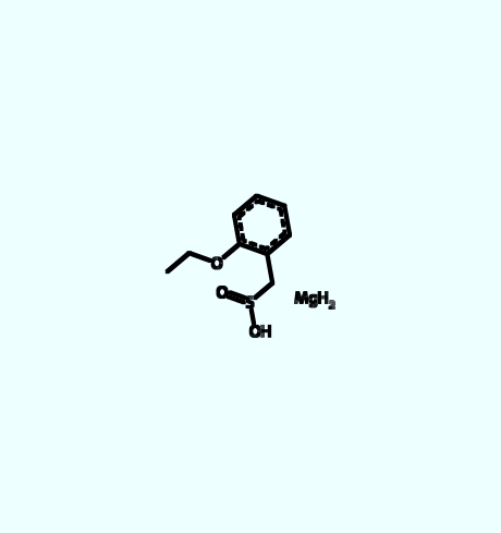 CCOc1ccccc1CS(=O)O.[MgH2]